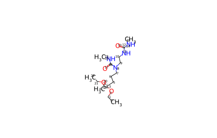 CCO[Si](C)(CCCN(CCNC(=O)NC)C(=O)NC)OCC